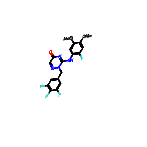 COc1cc(F)c(Nc2nc(=O)cnn2Cc2cc(F)c(F)c(F)c2)cc1OC